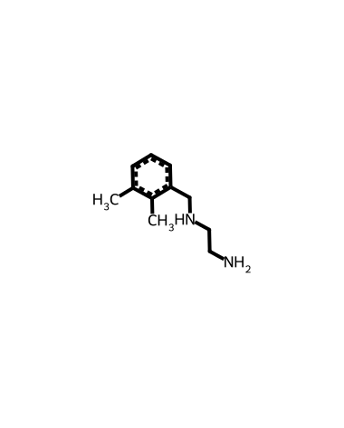 Cc1cccc(CNCCN)c1C